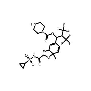 CC1(OCC(=O)NS(=O)(=O)C2CC2)C=CC(C(OC(=O)N2CCNCC2)C(C(F)(F)F)C(F)(F)F)=CC1F